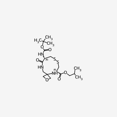 CC(C)COC(=O)[C@@H]1CSSC[C@H](NC(=O)OC(C)(C)C)C(=O)NCC2(COC2)N1